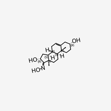 C[C@]12CC[C@@H](O)CC1=CC[C@@H]1[C@@H]2CC[C@]2(C)C(=NO)[C@H](O)C[C@@H]12